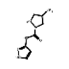 CC1CN[C@H](C(=O)Nc2cc[nH]n2)C1